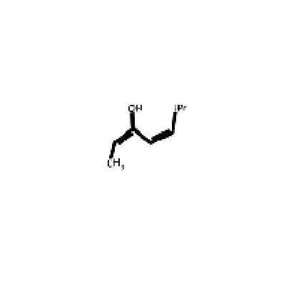 C/C=C(O)\C=C/C(C)C